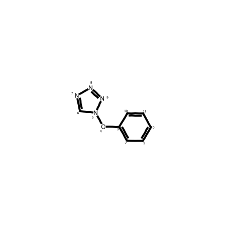 c1ccc(On2cnnn2)cc1